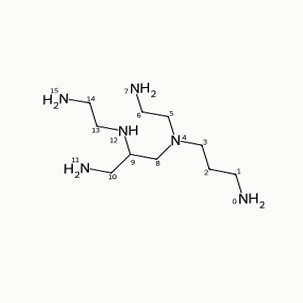 NCCCN(CCN)CC(CN)NCCN